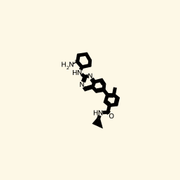 Cc1ccc(C(=O)NC2CC2)cc1-c1ccc2nc(NC3CCCC[C@H]3N)ncc2c1